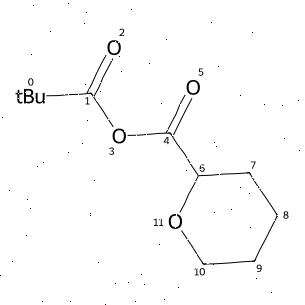 CC(C)(C)C(=O)OC(=O)C1CCCCO1